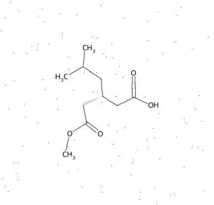 COC(=O)C[C@@H](CC(=O)O)CC(C)C